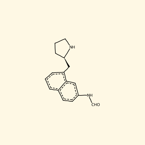 O=CNc1ccc2cccc(C[C@H]3CCCN3)c2c1